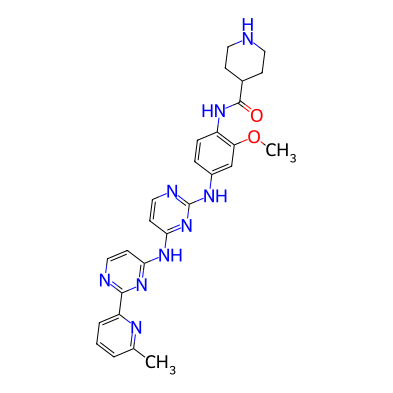 COc1cc(Nc2nccc(Nc3ccnc(-c4cccc(C)n4)n3)n2)ccc1NC(=O)C1CCNCC1